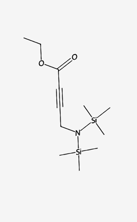 CCOC(=O)C#CCN([Si](C)(C)C)[Si](C)(C)C